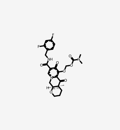 CN(C)C(=O)OCOc1c2n(cc(C(=O)NCc3ccc(F)cc3F)c1=O)C[C@@H]1OCCC[C@]1(C)C2=O